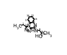 CCc1nnc2c(NC[C@H](C)O)nc3ccccc3n12